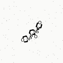 O=C1N(SN2CCOCC2)CCCN1SN1CCOCC1